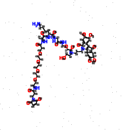 COc1cc2c3c(n(CCCN(CCO)C(=O)COCNC(=O)CNC(=O)[C@H](CCCCN)NC(=O)[C@H](C)NC(=O)CCOCCOCCOCCOCCNC(=O)CCN4C(=O)C=CC4=O)c(=O)c2cc1OC)-c1cc2c(cc1C3=O)OCO2